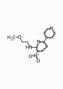 COCCNc1nc(-c2ccncc2)ccc1[N+](=O)[O-]